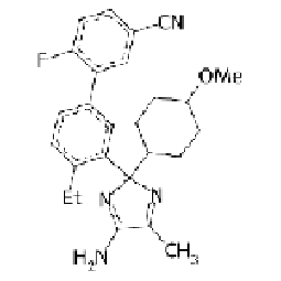 CCc1ccc(-c2cc(C#N)ccc2F)cc1C1(C2CCC(OC)CC2)N=C(C)C(N)=N1